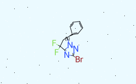 FC1(F)C[C@@H](c2ccccc2)n2nc(Br)nc21